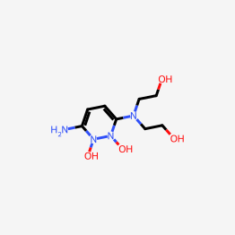 NC1=CC=C(N(CCO)CCO)N(O)N1O